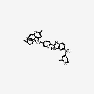 Cc1cc(Nc2ccc3nc(-c4ccc(Nc5cc(C)nc6ccc([C@@]78CCO[C@@H](C)C7(C)C8)cc56)cn4)[nH]c3c2)ccn1